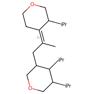 C/C(CC1COCC(C(C)C)C1C(C)C)=C1/CCOCC1C(C)C